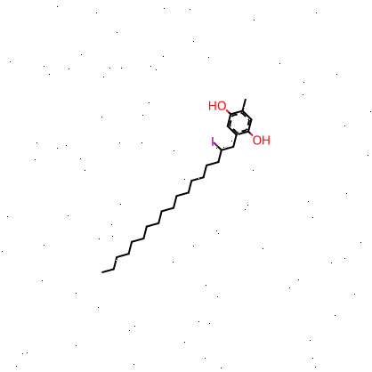 CCCCCCCCCCCCCCCCC(I)Cc1cc(O)c(C)cc1O